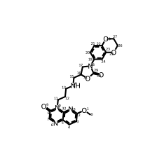 COc1ccc2ncc(=O)n(CCCNCC3CN(c4ccc5c(c4)OCCO5)C(=O)O3)c2n1